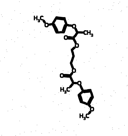 COc1ccc(OC(C)C(=O)OCCCOC(=O)C(C)Oc2ccc(OC)cc2)cc1